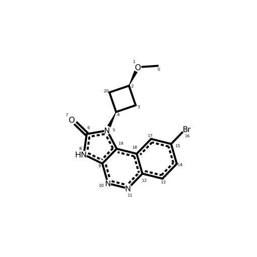 CO[C@H]1C[C@@H](n2c(=O)[nH]c3nnc4ccc(Br)cc4c32)C1